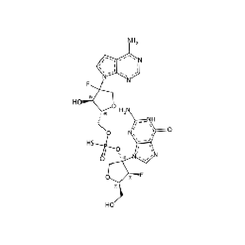 Nc1nc2c(ncn2[C@]2(OP(=O)(S)OC[C@H]3OCC(F)(n4ccc5c(N)ncnc54)[C@@H]3O)CO[C@H](CO)[C@@H]2F)c(=O)[nH]1